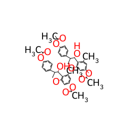 CC(=O)Oc1ccc(C2COc3cc(OC(C)=O)cc(C)c3C2O)cc1.CC(=O)Oc1ccc(C2COc3cc(OC(C)=O)cc(C)c3C2O)cc1